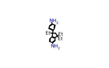 CCC1(CC)CC(CC)(c2ccc(N)cc2)c2ccc(N)cc21